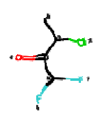 CC(Cl)C(=O)C(F)F